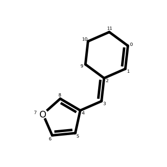 C1=CC(=Cc2ccoc2)CCC1